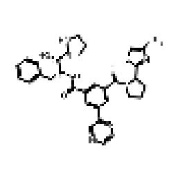 Cc1csc(C2CCCN2C(=O)c2cc(C(=O)N[C@@H](Cc3ccccc3)[C@H](O)[C@H]3CCCN3)cc(-c3cnccn3)c2)n1